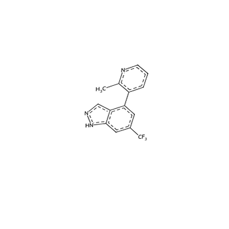 Cc1ncccc1-c1cc(C(F)(F)F)cc2[nH]ncc12